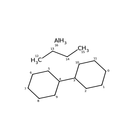 C1CCC(C2CCCCC2)CC1.CCCC.[AlH3]